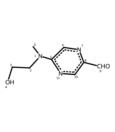 CN(CCO)c1cnc(C=O)cn1